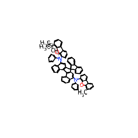 Cc1cccc2c1oc1c(N(c3ccccc3)c3cc4c(c5ccccc35)-c3c(cc(N(c5ccccc5)c5cccc6c5oc5c([Si](C)(C)C)cccc56)c5ccccc35)C43c4ccccc4-c4ccccc43)cccc12